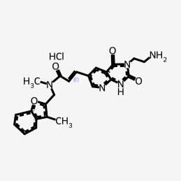 Cc1c(CN(C)C(=O)/C=C/c2cnc3[nH]c(=O)n(CCN)c(=O)c3c2)oc2ccccc12.Cl